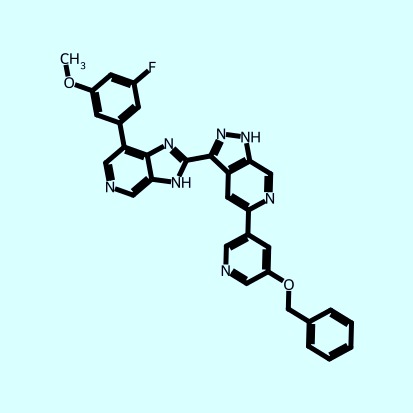 COc1cc(F)cc(-c2cncc3[nH]c(-c4n[nH]c5cnc(-c6cncc(OCc7ccccc7)c6)cc45)nc23)c1